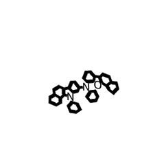 c1ccc(N(c2ccc3c4ccc5ccccc5c4n(-c4ccccc4)c3c2)c2cccc3c2oc2c4ccccc4ccc32)cc1